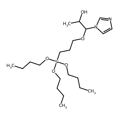 CCCCO[Si](CCCOC(C(C)O)n1ccnc1)(OCCCC)OCCCC